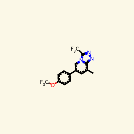 Cc1cc(-c2ccc(OC(F)(F)F)cc2)cn2c(C(F)(F)F)nnc12